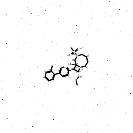 C=C(/C=C\C(=C/C)c1ccccc1C)[C@@H]1[C@@H](COC)N2CCCCN(S(C)(=O)=O)C[C@@H]12